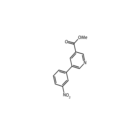 COC(=O)c1cncc(-c2cccc([N+](=O)[O-])c2)c1